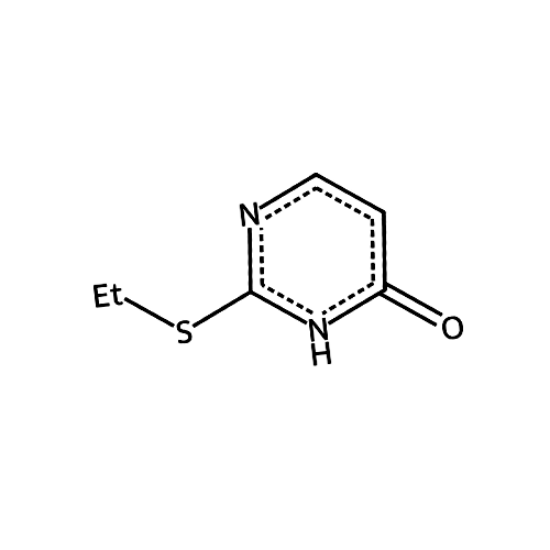 CCSc1nccc(=O)[nH]1